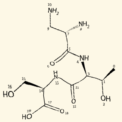 C[C@@H](O)[C@H](NC(=O)[C@@H](N)CN)C(=O)N[C@H](CO)C(=O)O